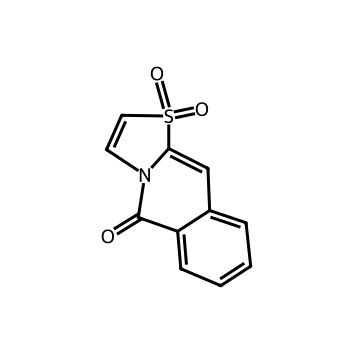 O=c1c2ccccc2cc2n1C=CS2(=O)=O